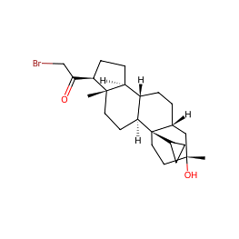 C[C@@]1(O)CC[C@@]2(C3CC3)[C@H](CC[C@H]3[C@@H]4CC[C@H](C(=O)CBr)[C@@]4(C)CC[C@@H]32)C1